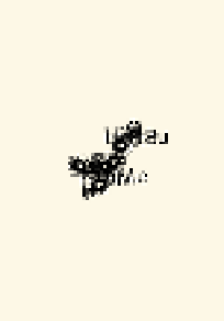 COc1ccc(F)cc1C(c1nc2ccccc2[nH]1)N1Cc2ccc(-c3ccc(NC(=O)OC(C)(C)C)cc3)cc2C1=O